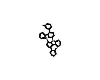 Cc1cccc(C2=CC=C3C4C2c2ccccc2N4c2ccc(-c4ccccc4C)c4c5ccccc5n3c24)c1